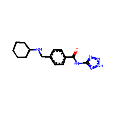 O=C(Nc1nn[nH]n1)c1ccc(CNC2CCCCC2)cc1